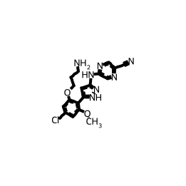 COc1cc(Cl)cc(OCCCN)c1-c1cc(Nc2cnc(C#N)cn2)n[nH]1